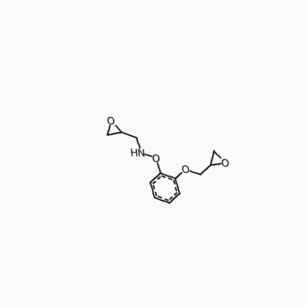 c1ccc(ONCC2CO2)c(OCC2CO2)c1